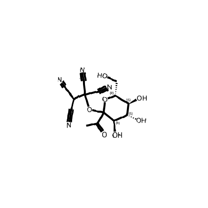 CC(=O)C1(OC(C#N)(C#N)C(C#N)C#N)O[C@H](CO)[C@@H](O)[C@H](O)[C@H]1O